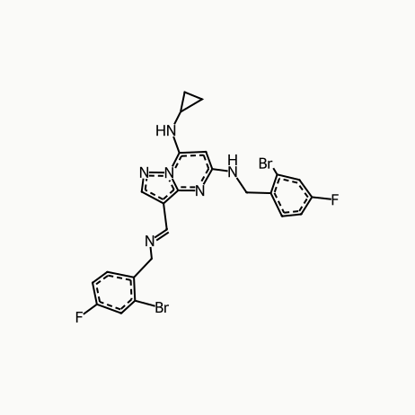 Fc1ccc(CN=Cc2cnn3c(NC4CC4)cc(NCc4ccc(F)cc4Br)nc23)c(Br)c1